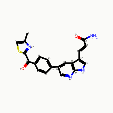 Cc1csc(C(=O)c2ccc(-c3cnc4[nH]cc(C=CC(N)=O)c4c3)cc2)n1